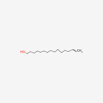 C/C=C/CCCCCCCCCCCCCO